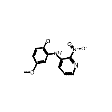 COc1ccc(Cl)c(Nc2cccnc2[N+](=O)[O-])c1